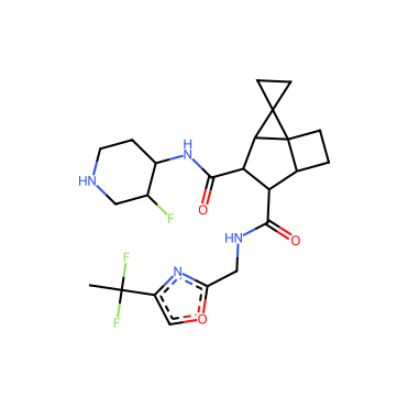 CC(F)(F)c1coc(CNC(=O)C2C(C(=O)NC3CCNCC3F)C3C4(CC4)C34CCC24)n1